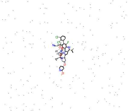 C=C(C)c1nc2c(F)c(-c3cccc(Cl)c3Cl)c(CCC#N)cc2c2c1cc([C@H]1C[C@H](Oc3ccnc(OC)c3)CN1C(=O)C1CC1)n2[C@H]1[C@@H]2C[C@H]1N(C(=O)OC(C)(C)C)C2